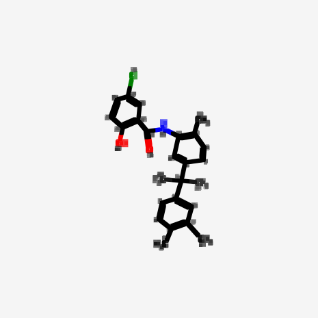 Cc1ccc(C(c2ccc(C)c(NC(=O)c3cc(Cl)ccc3O)c2)(C(F)(F)F)C(F)(F)F)cc1C